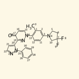 Cc1cc(N2CCC(F)(F)C2)ccc1-n1ccc(=O)c(-c2ccnn2-c2ccccc2)n1